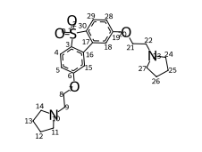 O=S1(=O)c2ccc(OCCN3CCCC3)cc2-c2cc(OCCN3CCCC3)ccc21